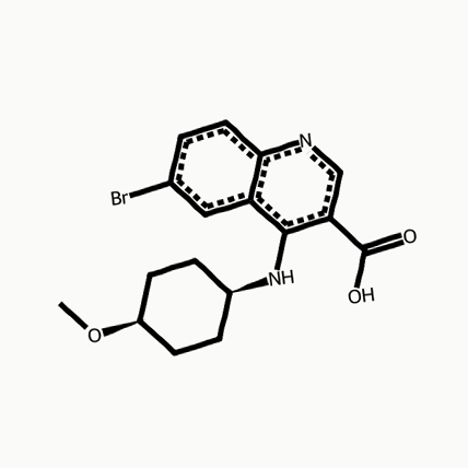 CO[C@H]1CC[C@@H](Nc2c(C(=O)O)cnc3ccc(Br)cc23)CC1